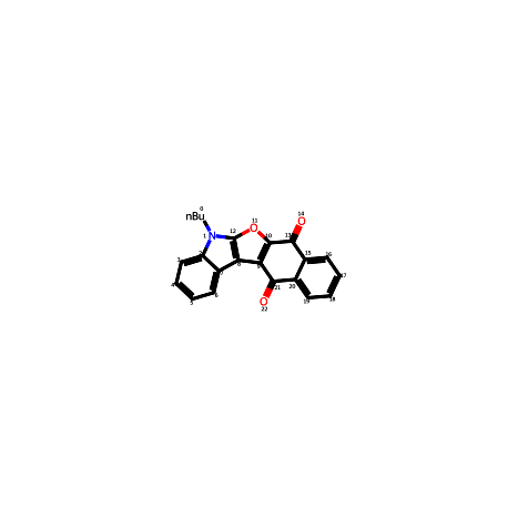 CCCCn1c2ccccc2c2c3c(oc21)C(=O)c1ccccc1C3=O